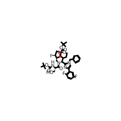 CC(C)(C)OC(=O)N[C@@H](CO)C(=O)N(C[C@@H]1CN(C(=O)OC(C)(C)C)C[C@@H]1F)[C@@H](c1nc(-c2cc(F)ccc2F)cn1Cc1ccccc1)C1CCOCC1